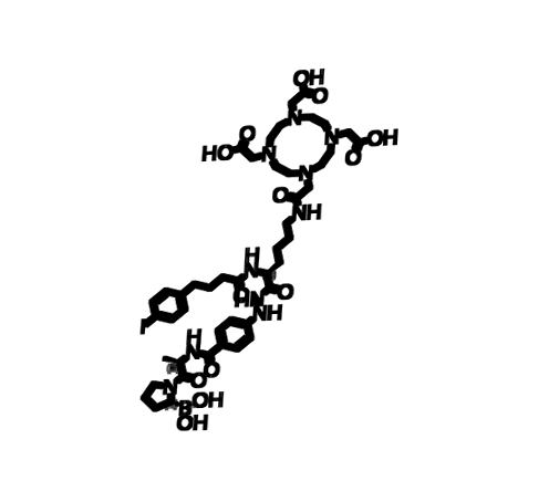 C[C@@H](NC(=O)c1ccc(NNC(=O)[C@H](CCCCNC(=O)CN2CCN(CC(=O)O)CCN(CC(=O)O)CCN(CC(=O)O)CC2)NC(=O)CCCc2ccc(I)cc2)cc1)C(=O)N1CCC[C@H]1B(O)O